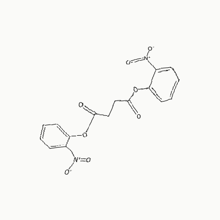 O=C(CCC(=O)Oc1ccccc1[N+](=O)[O-])Oc1ccccc1[N+](=O)[O-]